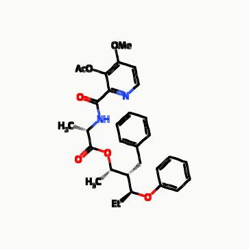 CC[C@H](Oc1ccccc1)[C@@H](Cc1ccccc1)[C@H](C)OC(=O)[C@H](C)NC(=O)c1nccc(OC)c1OC(C)=O